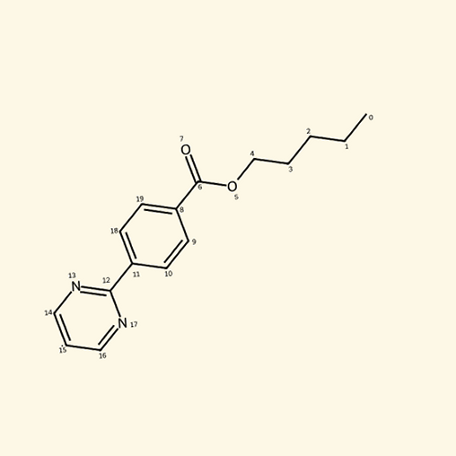 CCCCCOC(=O)c1ccc(-c2nc[c]cn2)cc1